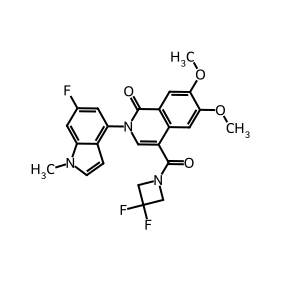 COc1cc2c(C(=O)N3CC(F)(F)C3)cn(-c3cc(F)cc4c3ccn4C)c(=O)c2cc1OC